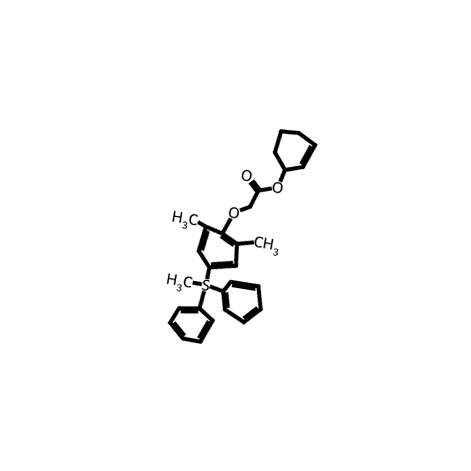 Cc1cc(S(C)(c2ccccc2)c2ccccc2)cc(C)c1OCC(=O)OC1C=CCCC1